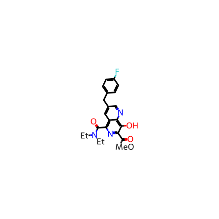 CCN(CC)C(=O)c1nc(C(=O)OC)c(O)c2ncc(Cc3ccc(F)cc3)cc12